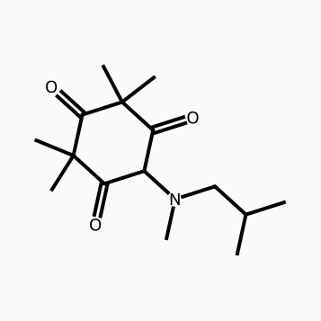 CC(C)CN(C)C1C(=O)C(C)(C)C(=O)C(C)(C)C1=O